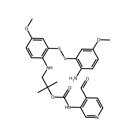 COc1ccc(N)c(SSc2cc(OC)ccc2NCC(C)(C)OC(=O)Nc2cnccc2C=O)c1